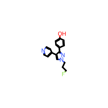 Oc1ccc(-c2nn(CCCF)cc2-c2ccncc2)cc1